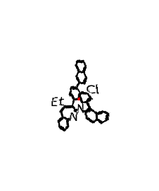 CCC1=C(c2ccc(-c3ccc4ccccc4c3)cc2)C(n2c3ccc(Cl)cc3c3c4ccccc4ccc32)=Nc2ccccc2C1